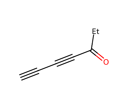 C#CC#CC(=O)CC